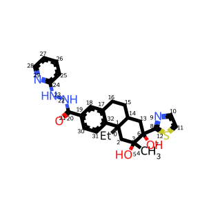 CCC12CC(C)(O)C(O)(c3nccs3)CC1CCc1cc(C(=O)NNc3ccccn3)ccc12